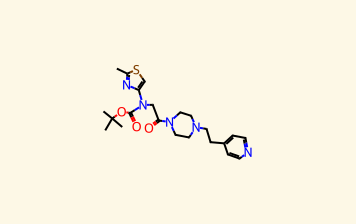 Cc1nc(N(CC(=O)N2CCN(CCc3ccncc3)CC2)C(=O)OC(C)(C)C)cs1